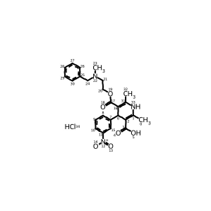 CC1=C(C(=O)O)C(c2cccc([N+](=O)[O-])c2)C(C(=O)OCCN(C)Cc2ccccc2)=C(C)N1.Cl